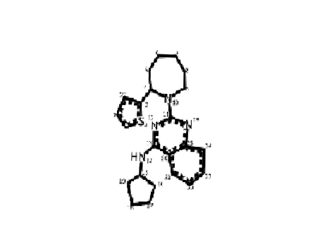 c1csc(C2CCCCCN2c2nc(NC3CCCC3)c3ccccc3n2)c1